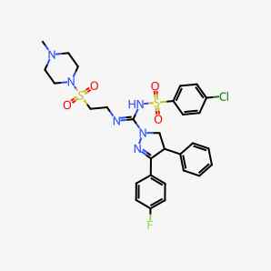 CN1CCN(S(=O)(=O)CCN=C(NS(=O)(=O)c2ccc(Cl)cc2)N2CC(c3ccccc3)C(c3ccc(F)cc3)=N2)CC1